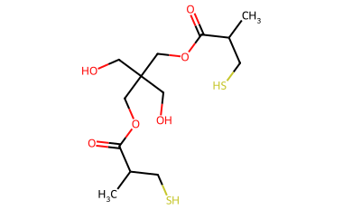 CC(CS)C(=O)OCC(CO)(CO)COC(=O)C(C)CS